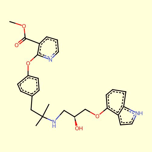 COC(=O)c1cccnc1Oc1ccc(CC(C)(C)NC[C@H](O)COc2cccc3[nH]ccc23)cc1